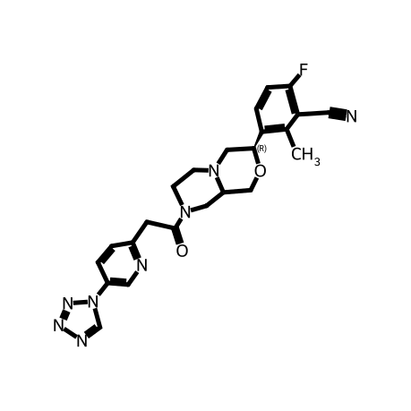 Cc1c([C@@H]2CN3CCN(C(=O)Cc4ccc(-n5cnnn5)cn4)CC3CO2)ccc(F)c1C#N